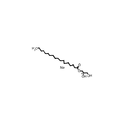 CCCCCCCCCCCCCCCCCC(=O)OC[C@H](O)CO.[Na]